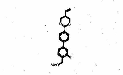 C=C[C@H]1CO[C@H](c2ccc(-c3ccc(COC)c(F)c3)cc2)OC1